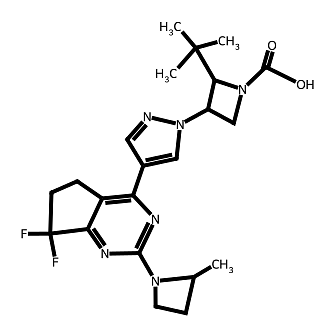 CC1CCN1c1nc(-c2cnn(C3CN(C(=O)O)C3C(C)(C)C)c2)c2c(n1)C(F)(F)CC2